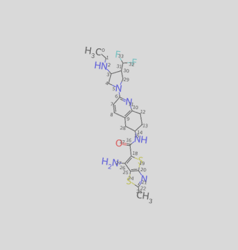 CCNC1CN(c2ccc3c(n2)CCC(NC(=O)c2sc4nc(C)sc4c2N)C3)CC1C(F)F